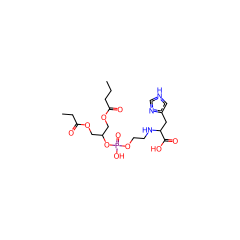 CCCC(=O)OCC(COC(=O)CC)OP(=O)(O)OCCNC(Cc1c[nH]cn1)C(=O)O